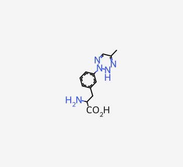 CC1=NNN(c2cccc(CC(N)C(=O)O)c2)N=C1